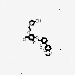 Cc1c(COc2cc(OCCN3CC[C@@H](O)C3)c(C=O)cc2Cl)cccc1-c1ccc2c(c1)OCCO2